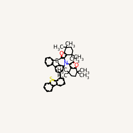 CC1(C)CCC(C)(C)c2c(N3c4cc(-c5cccc6c5sc5ccccc56)cc5c4B(c4ccccc4-5)c4oc5c(c43)C(C)(C)CCC5(C)C)coc21